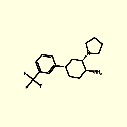 N[C@H]1CC[C@H](c2cccc(C(F)(F)F)c2)C[C@@H]1N1CCCC1